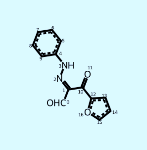 O=C/C(=N/Nc1ccccc1)C(=O)c1ccco1